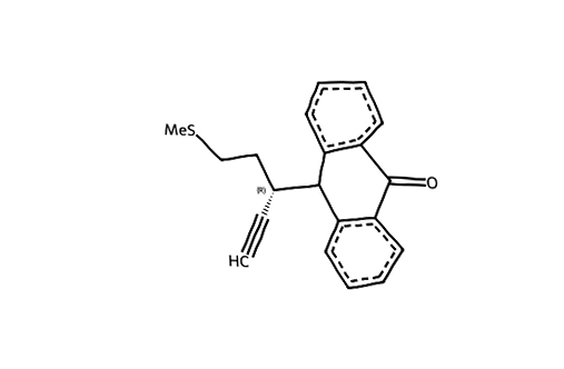 C#C[C@H](CCSC)C1c2ccccc2C(=O)c2ccccc21